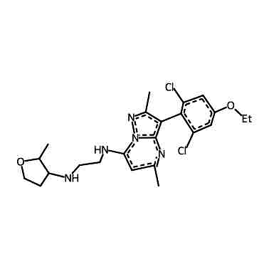 CCOc1cc(Cl)c(-c2c(C)nn3c(NCCNC4CCOC4C)cc(C)nc23)c(Cl)c1